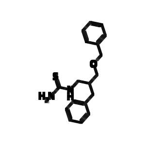 NC(=S)NCC(COCc1ccccc1)Cc1ccccc1